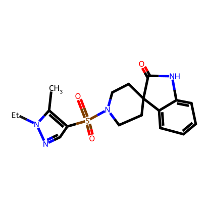 CCn1ncc(S(=O)(=O)N2CCC3(CC2)C(=O)Nc2ccccc23)c1C